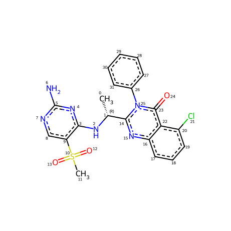 C[C@@H](Nc1nc(N)ncc1S(C)(=O)=O)c1nc2cccc(Cl)c2c(=O)n1-c1ccccc1